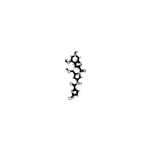 COCC1CC(NC(=O)c2ccc(Cl)s2)CN1C(=O)c1cc2c(s1)CN(C)CC2OC